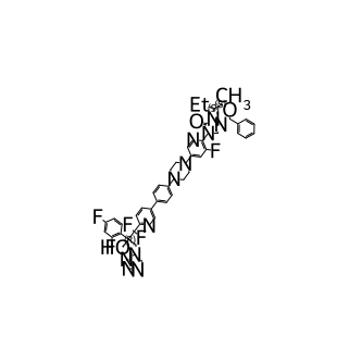 CC[C@@H]([C@H](C)OCc1ccccc1)n1ncn(-c2ncc(N3CCN(c4ccc(-c5ccc(C(F)(F)[C@](O)(Cn6cnnn6)c6ccc(F)cc6F)nc5)cc4)CC3)cc2F)c1=O